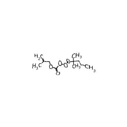 C=C(C)COC(=O)OOOC(C)(C)CCC